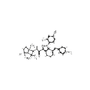 CC1(C)[C@H](NC(=O)c2nn(-c3ccc(Cl)cc3Cl)c3c2CCC/C3=C\c2ccc(Cl)cc2)[C@@]2(C)CC[C@@H]3C[C@@]312